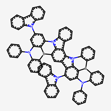 c1ccc(N2c3ccccc3B3c4c2cc(-n2c5ccccc5c5ccccc52)cc4-n2c4ccccc4c4c2c3cc2c3c(-n5c6ccccc6c6ccccc65)cc5c6c3n(c24)-c2ccccc2B6c2ccccc2N5c2ccccc2)cc1